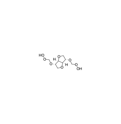 OOCO[C@H]1CO[C@H]2[C@@H]1OC[C@@H]2OCOO